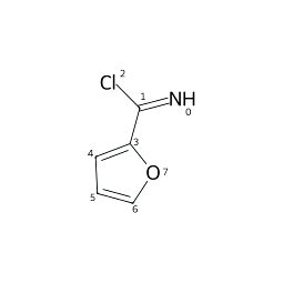 N=C(Cl)c1ccco1